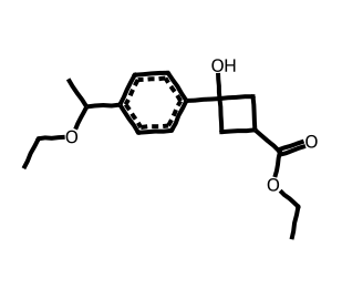 CCOC(=O)C1CC(O)(c2ccc(C(C)OCC)cc2)C1